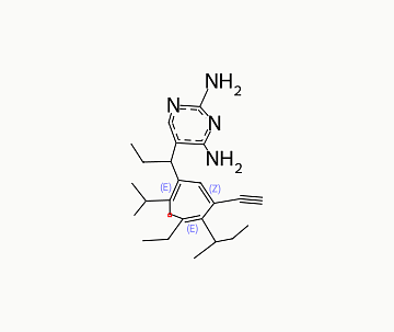 C#CC(=C/C(=C(\C)C(C)C)C(CC)c1cnc(N)nc1N)/C(=C(\C)CC)C(C)CC